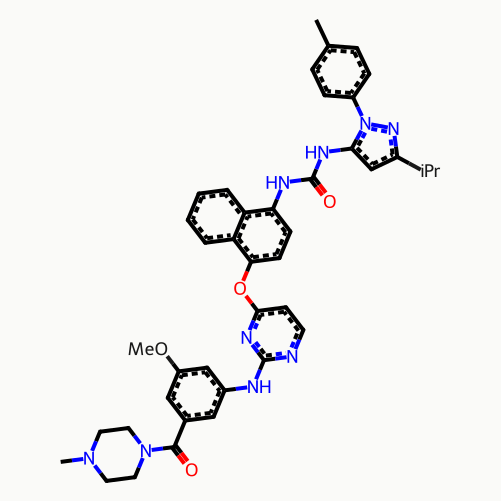 COc1cc(Nc2nccc(Oc3ccc(NC(=O)Nc4cc(C(C)C)nn4-c4ccc(C)cc4)c4ccccc34)n2)cc(C(=O)N2CCN(C)CC2)c1